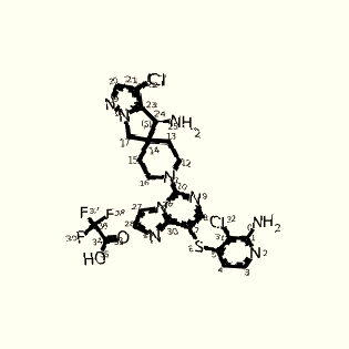 Nc1nccc(Sc2cnc(N3CCC4(CC3)Cn3ncc(Cl)c3[C@H]4N)n3ccnc23)c1Cl.O=C(O)C(F)(F)F